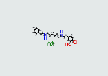 Br.Br.Cc1cc(O)c(O)cc1CCNCCCCCCNCCc1ccccc1